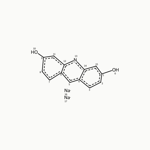 Oc1ccc2cc3ccc(O)cc3nc2c1.[Na].[Na]